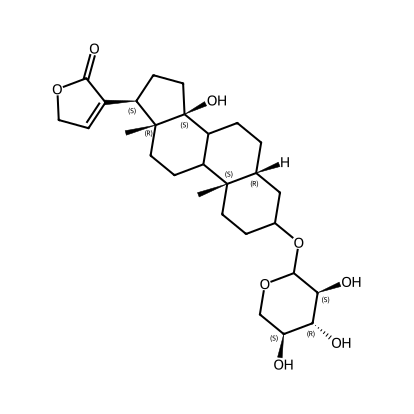 C[C@]12CCC(OC3OC[C@H](O)[C@@H](O)[C@@H]3O)C[C@H]1CCC1C2CC[C@]2(C)[C@@H](C3=CCOC3=O)CC[C@]12O